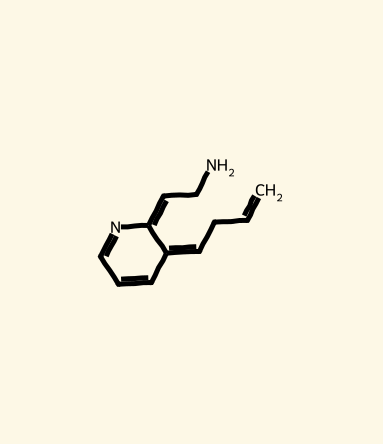 C=CC/C=c1/cccn/c1=C/CN